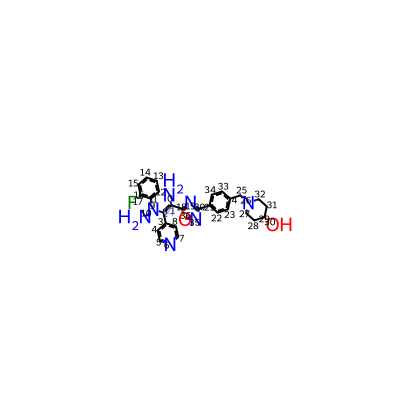 N/C(=C(/c1ccncc1)N(N)c1ccccc1F)c1nc(-c2ccc(CN3CCC(O)CC3)cc2)no1